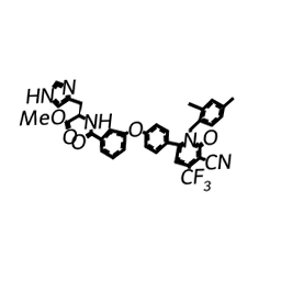 COC(=O)[C@@H](Cc1c[nH]cn1)NC(=O)c1cccc(Oc2ccc(-c3cc(C(F)(F)F)c(C#N)c(=O)n3Cc3ccc(C)cc3C)cc2)c1